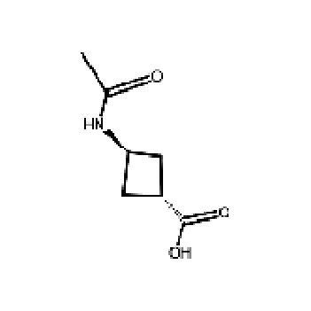 CC(=O)N[C@H]1C[C@H](C(=O)O)C1